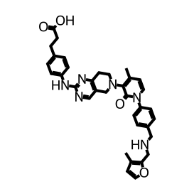 Cc1ccoc1CNCc1ccc(-n2ccc(C)c(N3CCc4nc(Nc5ccc(CCC(=O)O)cc5)ncc4C3)c2=O)cc1